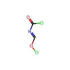 O=C(Cl)N=COCl